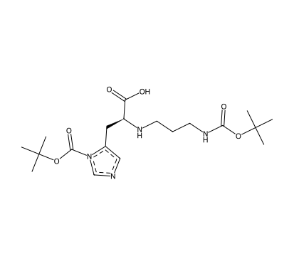 CC(C)(C)OC(=O)NCCCN[C@@H](Cc1cncn1C(=O)OC(C)(C)C)C(=O)O